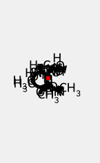 C=C[C@@H]1C[C@]1(NC(=O)[C@@H]1C[C@@H]2CN1C(=O)[C@H](C1CCCC1)NC(=O)OCC(C)(C)CCCc1cc3c(cc(OCc4cc(C)n[nH]4)nc3cc1OC)O2)C(=O)NS(=O)(=O)C1CC1